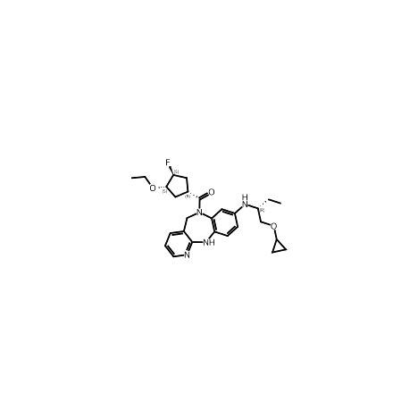 CCO[C@H]1C[C@@H](C(=O)N2Cc3cccnc3Nc3ccc(N[C@H](CC)COC4CC4)cc32)C[C@@H]1F